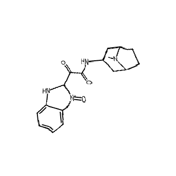 CN1C2CCC1CC(NC(=O)C(=O)C1Nc3ccccc3[N+]1=O)C2